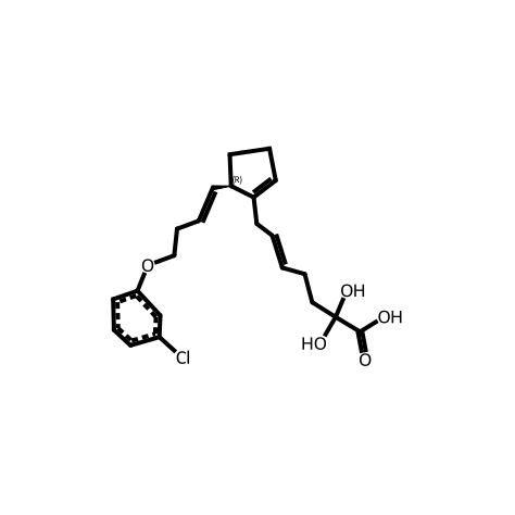 O=C(O)C(O)(O)CCC=CCC1=CCC[C@@H]1C=CCCOc1cccc(Cl)c1